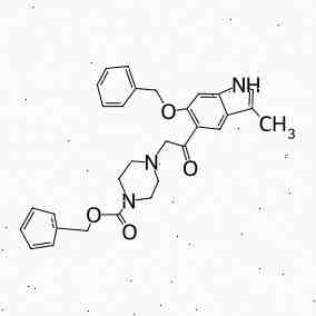 Cc1c[nH]c2cc(OCc3ccccc3)c(C(=O)CN3CCN(C(=O)OCc4ccccc4)CC3)cc12